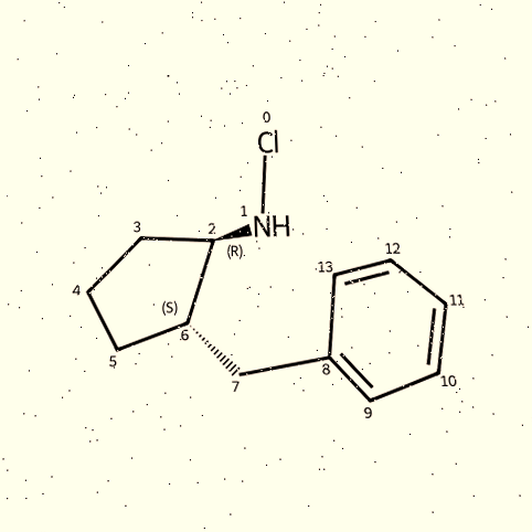 ClN[C@@H]1CCC[C@H]1Cc1ccccc1